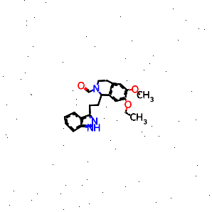 CCOc1cc2c(cc1OC)CCN(C=O)C2CCc1n[nH]c2ccccc12